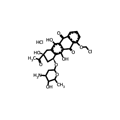 CC(=O)[C@]1(O)Cc2c(O)c3c(c(O)c2[C@@H](OC2CC(N)C(O)C(C)O2)C1)C(=O)c1c(OCCl)cccc1C3=O.Cl